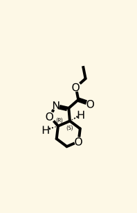 CCOC(=O)C1=NO[C@@H]2CCOC[C@H]12